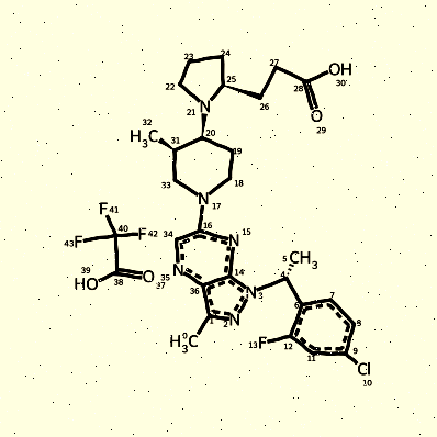 Cc1nn([C@H](C)c2ccc(Cl)cc2F)c2nc(N3CC[C@H](N4CCC[C@H]4CCC(=O)O)[C@H](C)C3)cnc12.O=C(O)C(F)(F)F